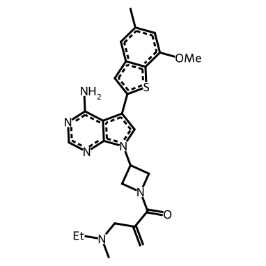 C=C(CN(C)CC)C(=O)N1CC(n2cc(-c3cc4cc(C)cc(OC)c4s3)c3c(N)ncnc32)C1